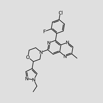 CCn1cc(C2CN(c3cc4nc(C)cnc4c(-c4ccc(Cl)cc4F)n3)CCO2)cn1